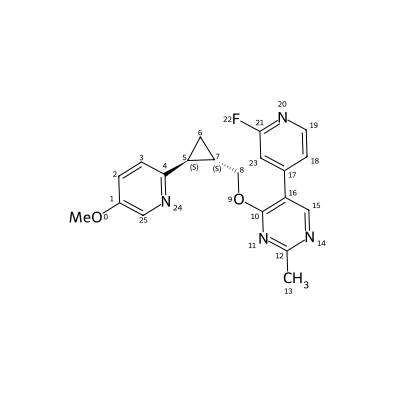 COc1ccc([C@H]2C[C@@H]2COc2nc(C)ncc2-c2ccnc(F)c2)nc1